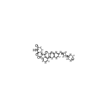 O=C1CCC(N2C(=O)c3cccc(NCc4ccc(CN5CC(N6CCOCC6)C5)cc4F)c3C2=O)C(=O)N1